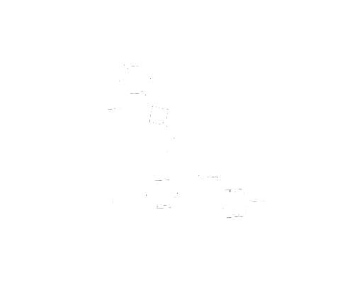 CN(C[C@@H](CCN1CC(N2CCNCC2CO)C1)c1ccc(F)cc1)C(=O)c1cc(Br)cc(Br)c1.Cl.Cl.Cl